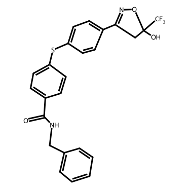 O=C(NCc1ccccc1)c1ccc(Sc2ccc(C3=NOC(O)(C(F)(F)F)C3)cc2)cc1